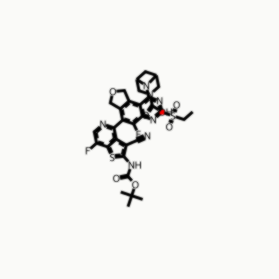 CCS(=O)(=O)c1nc(N2C3CC2CN(C(=O)O)C3)c2c3c(c(-c4ncc(F)c5sc(NC(=O)OC(C)(C)C)c(C#N)c45)c(F)c2n1)COC3